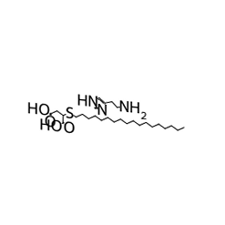 CCCCCCCCCCCCCCCCCCSC(CC(=O)O)C(=O)O.NCCc1c[nH]cn1